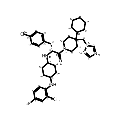 Cc1cc(F)ccc1NC1CCC(N[C@H](Cc2ccc(Cl)cc2)C(=O)N2CCC(Cn3cncn3)(C3CCCCC3)CC2)CC1